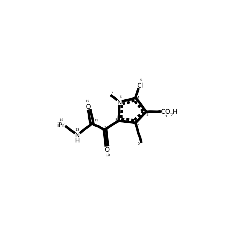 Cc1c(C(=O)O)c(Cl)n(C)c1C(=O)C(=O)NC(C)C